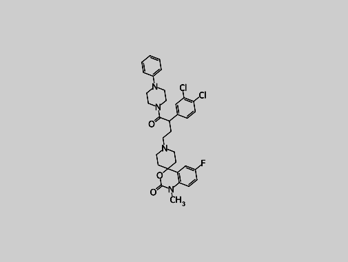 CN1C(=O)OC2(CCN(CCC(C(=O)N3CCN(c4ccccc4)CC3)c3ccc(Cl)c(Cl)c3)CC2)c2cc(F)ccc21